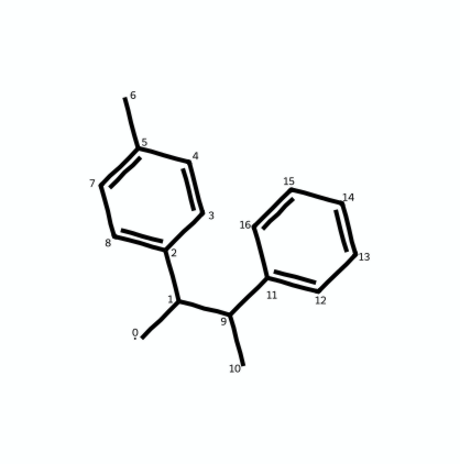 [CH2]C(c1ccc(C)cc1)C(C)c1ccccc1